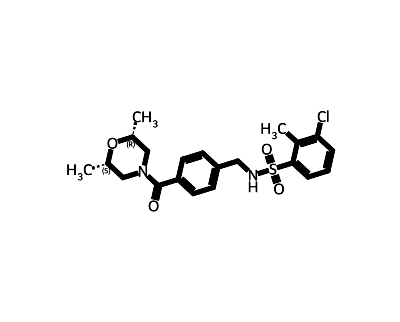 Cc1c(Cl)cccc1S(=O)(=O)NCc1ccc(C(=O)N2C[C@@H](C)O[C@@H](C)C2)cc1